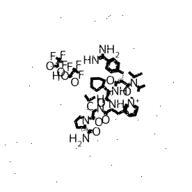 CC(C)CC(NC(=O)C(Cc1ccc[n+](C)c1)NC(=O)[C@@H](NC(=O)[C@H](Cc1ccc(C(=N)N)cc1)C(=O)N(C(C)C)C(C)C)C1CCCCC1)C(=O)N1CCC[C@H]1C(N)=O.O=C(O)C(F)(F)F.O=C([O-])C(F)(F)F